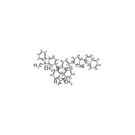 CC1(C)c2ccccc2-c2ccc(N(c3ccc(-c4ccc5c(c4)sc4c6ccccc6ccc54)cc3)c3cccc4c3-c3ccccc3C4(C)C)cc21